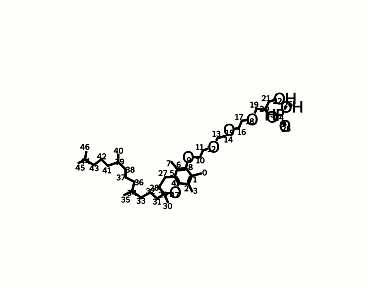 Cc1c(C)c2c(c(C)c1OCCOCCOCCOCC(CO)O[PH](=O)O)CCC(C)(CCCC(C)CCCC(C)CCCC(C)C)O2